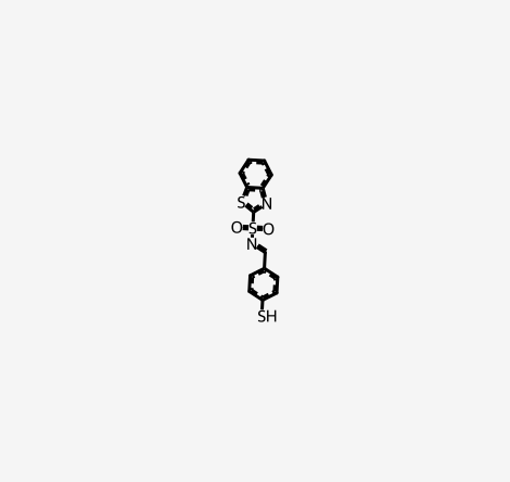 O=S(=O)(N=Cc1ccc(S)cc1)c1nc2ccccc2s1